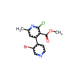 COC(=O)c1c(-c2ccncc2Br)cc(C)nc1Cl